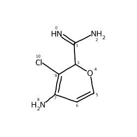 N=C(N)C1OC=CC(N)=C1Cl